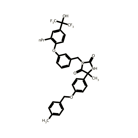 CCCc1cc(C(O)(C(F)(F)F)C(F)(F)F)ccc1Oc1cccc(CN2C(=O)NC(C)(c3ccc(OCc4ccc(C)cc4)cc3)C2=O)c1